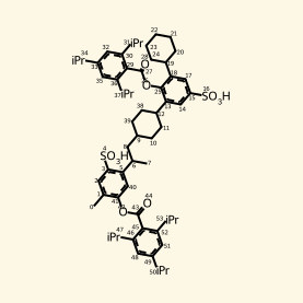 Cc1cc(S(=O)(=O)O)c(C(C)CC2CCC(c3cc(S(=O)(=O)O)cc(C4CCCCC4)c3OC(=O)c3c(C(C)C)cc(C(C)C)cc3C(C)C)CC2)cc1OC(=O)c1c(C(C)C)cc(C(C)C)cc1C(C)C